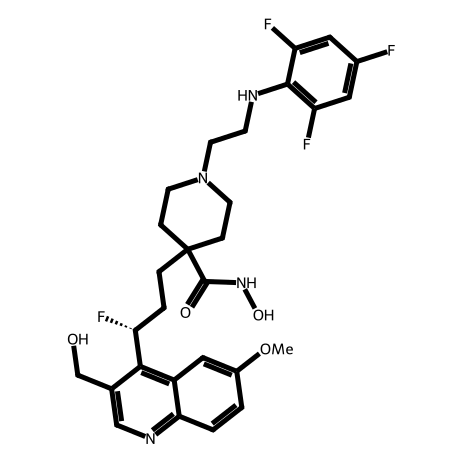 COc1ccc2ncc(CO)c([C@H](F)CCC3(C(=O)NO)CCN(CCNc4c(F)cc(F)cc4F)CC3)c2c1